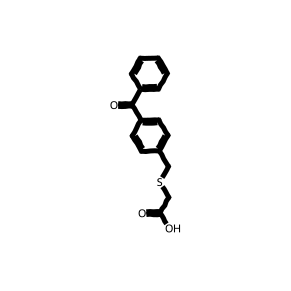 O=C(O)CSCc1ccc(C(=O)c2ccccc2)cc1